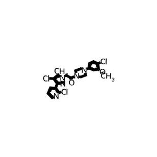 COc1cc(N2CCN(C(=O)Cn3nc(-c4cccnc4Cl)c(Cl)c3C)CC2)ccc1Cl